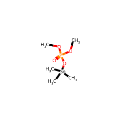 COP(=O)(OC)[O][Sn]([CH3])([CH3])[CH3]